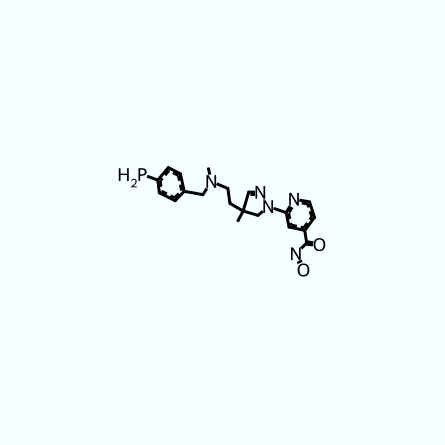 CN(CCC1(C)C=NN(c2cc(C(=O)N=O)ccn2)C1)Cc1ccc(P)cc1